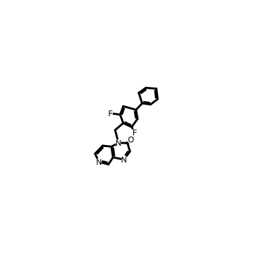 O=c1cnc2cnccc2n1Cc1c(F)cc(-c2ccccc2)cc1F